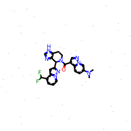 CN(C)c1ccc2c(C(=O)N3CCc4[nH]cnc4C3c3cc4c(C(F)F)cccn4n3)cnn2c1